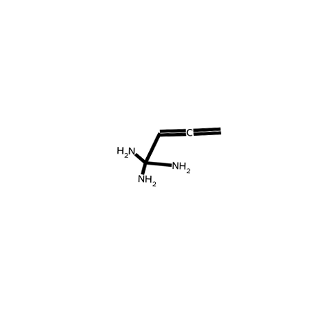 C=C=CC(N)(N)N